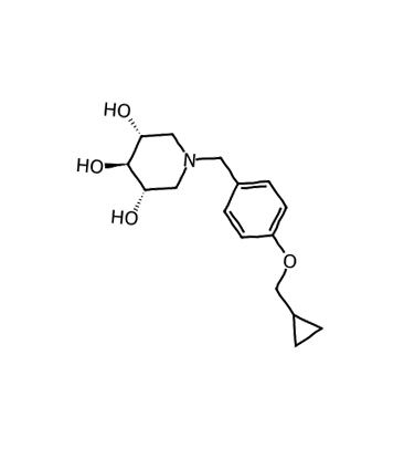 O[C@H]1[C@H](O)CN(Cc2ccc(OCC3CC3)cc2)C[C@@H]1O